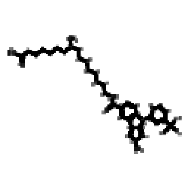 CN(CCCCCCC(=O)O)CCOCCOCCNC(=O)c1ccc2c(c1)c1cn(C)nc1n2-c1cc(C(F)(F)F)ccn1